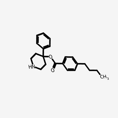 CCCCc1ccc(C(=O)OC2(c3ccccc3)CCNCC2)cc1